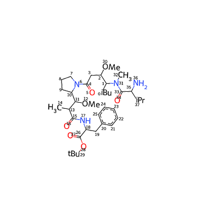 CCC(C)C(C(CC(=O)N1CCCC1C(OC)C(C)C(=O)NC(Cc1ccccc1)C(=O)OC(C)(C)C)OC)N(C)C(=O)C(N)C(C)C